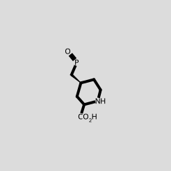 O=PC[C@H]1CCNC(C(=O)O)C1